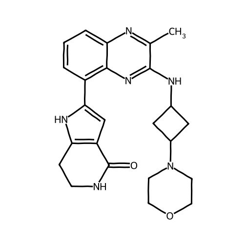 Cc1nc2cccc(-c3cc4c([nH]3)CCNC4=O)c2nc1NC1CC(N2CCOCC2)C1